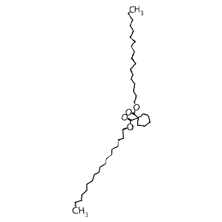 CCCCCCCCCCCCCCCCCCOC(=O)C1(C(=O)OCCCCCCCCCCCCCCCCCC)CCCCC1